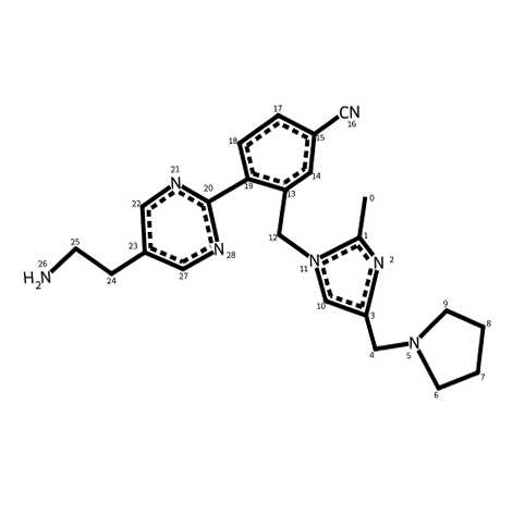 Cc1nc(CN2CCCC2)cn1Cc1cc(C#N)ccc1-c1ncc(CCN)cn1